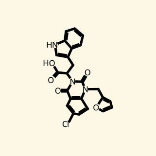 O=C(O)C(Cc1c[nH]c2ccccc12)n1c(=O)c2cc(Cl)ccc2n(Cc2ccco2)c1=O